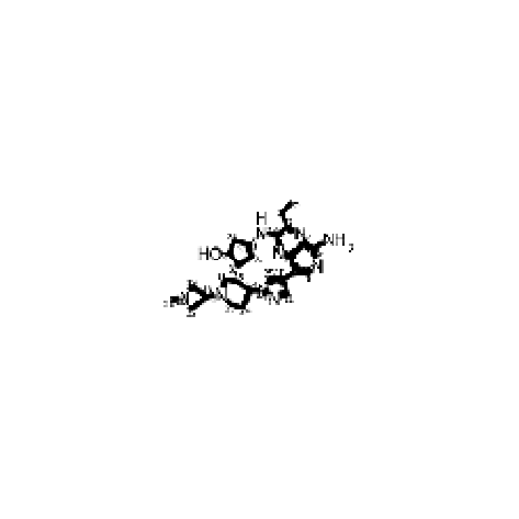 CCc1nc2c(N)ncc(-c3cnn(C4CCN(C5CN(C)C5)CC4)c3)c2nc1N[C@@H]1CC[C@H](O)C1